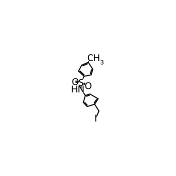 Cc1ccc(S(=O)(=O)Nc2ccc(CI)cc2)cc1